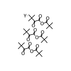 CC(C)(C)C(=O)OC(=O)C(=O)C(C)(C)C.CC(C)(C)C(=O)OC(=O)C(=O)C(C)(C)C.CC(C)(C)C(=O)OC(=O)C(=O)C(C)(C)C.[Y]